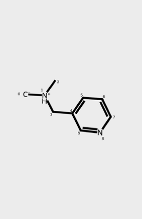 [CH2-][NH+](C)Cc1cccnc1